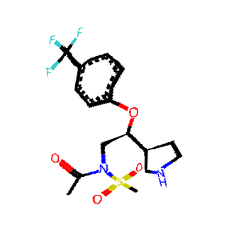 CC(=O)N(C[C@@H](Oc1ccc(C(F)(F)F)cc1)[C@H]1CCNC1)S(C)(=O)=O